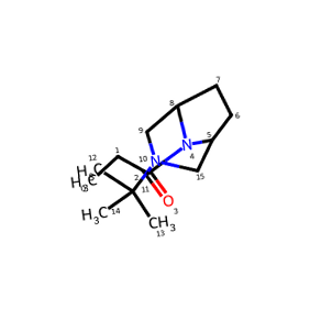 CCC(=O)N1C2CCC1CN(C(C)(C)C)C2